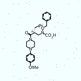 COc1ccc(N2CCN(C(=O)[C@H](CC(C)C)CN(OCc3ccccc3)C(=O)O)CC2)cc1